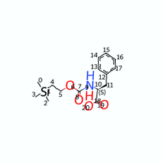 C[Si](C)(C)CCOC(=O)N[C@@H](Cc1ccccc1)C(=O)O